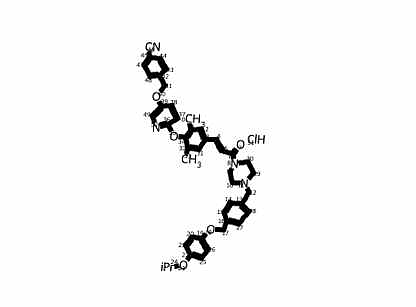 Cc1cc(C=CC(=O)N2CCN(Cc3ccc(COc4ccc(OC(C)C)cc4)cc3)CC2)cc(C)c1Oc1ccc(OCc2ccc(C#N)cc2)cn1.Cl